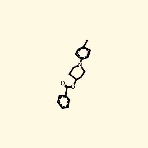 Cc1ccc(N2CCC(OC(=O)c3ccccc3)CC2)cc1